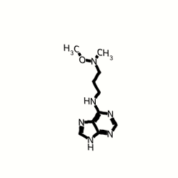 CON(C)CCCNc1ncnc2[nH]cnc12